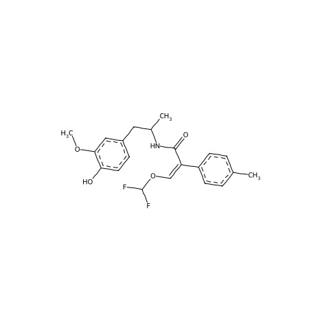 COc1cc(CC(C)NC(=O)C(=COC(F)F)c2ccc(C)cc2)ccc1O